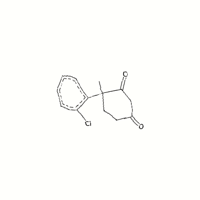 CC1(c2ccccc2Cl)CCC(=O)CC1=O